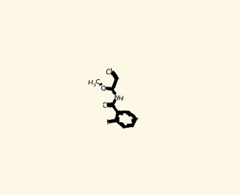 COC(CCl)NC(=O)c1ccccc1I